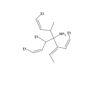 C/C=C(\C=C/CC)C(N)(C(C)/C=C\CC)C(/C=C\CC)CC